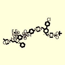 CC1CN(CCC(CSc2ccccc2)Nc2ccc(S(=O)(=O)NC(=O)c3ccc(N4CCN(CC5=C(c6ccc(Cl)cc6)CC[C@@](C)(CN6CCN(C(=O)OC(C)(C)C)CC6)C5)CC4)cc3)cc2S(=O)(=O)C(F)(F)F)CCO1